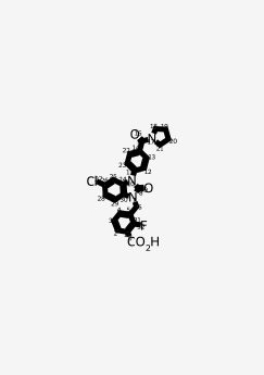 O=C(O)c1cccc(Cn2c(=O)n(-c3ccc(C(=O)N4CCCC4)cc3)c3cc(Cl)ccc32)c1F